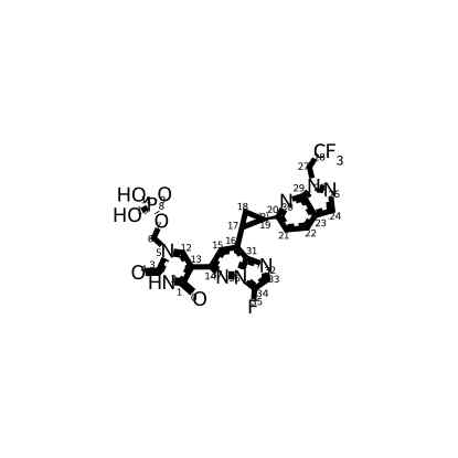 O=c1[nH]c(=O)n(COP(=O)(O)O)cc1-c1cc(C2C[C@H]2c2ccc3cnn(CC(F)(F)F)c3n2)c2ncc(F)n2n1